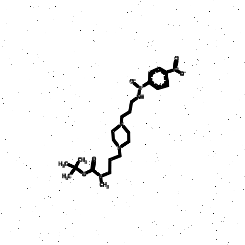 CN(CCCN1CCN(CCCN[S+]([O-])c2ccc([N+](=O)[O-])cc2)CC1)C(=O)OC(C)(C)C